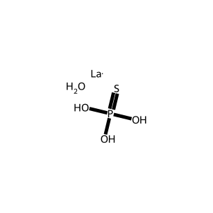 O.OP(O)(O)=S.[La]